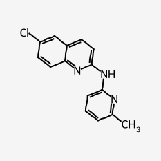 Cc1cccc(Nc2ccc3cc(Cl)ccc3n2)n1